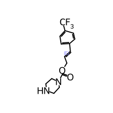 O=C(OC/C=C/c1ccc(C(F)(F)F)cc1)N1CCNCC1